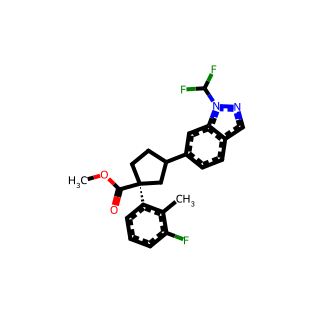 COC(=O)[C@@]1(c2cccc(F)c2C)CCC(c2ccc3cnn(C(F)F)c3c2)C1